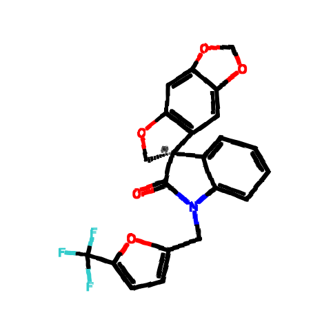 O=C1N(Cc2ccc(C(F)(F)F)o2)c2ccccc2[C@@]12COc1cc3c(cc12)OCO3